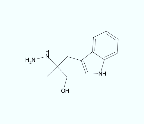 CC(CO)(Cc1c[nH]c2ccccc12)NN